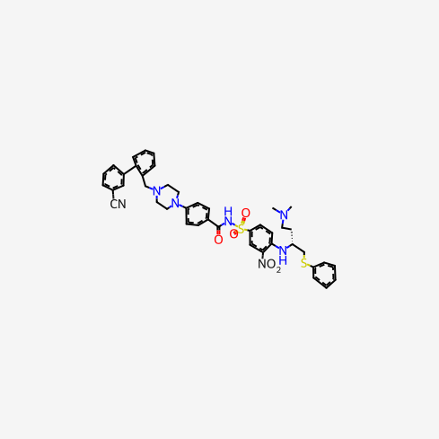 CN(C)CC[C@H](CSc1ccccc1)Nc1ccc(S(=O)(=O)NC(=O)c2ccc(N3CCN(Cc4ccccc4-c4cccc(C#N)c4)CC3)cc2)cc1[N+](=O)[O-]